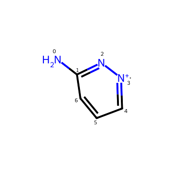 NC1=N[N+]=CC=C1